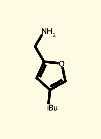 CCC(C)c1coc(CN)c1